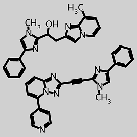 Cc1cccn2cc(CC(O)c3nc(-c4ccccc4)cn3C)nc12.Cn1cc(-c2ccccc2)nc1C#Cc1nc2cccc(-c3ccncc3)n2n1